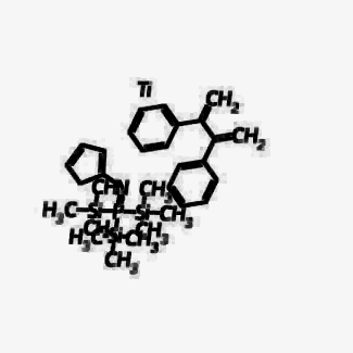 C=C(C(=C)c1ccccc1)c1ccccc1.C[Si](C)(C)P(=NC1=CC=CC1)([Si](C)(C)C)[Si](C)(C)C.[Ti]